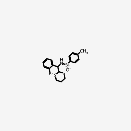 Cc1ccc([S@+]([O-])NC(c2ccccc2Br)C2SCCCS2)cc1